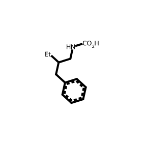 CCC(CNC(=O)O)Cc1ccccc1